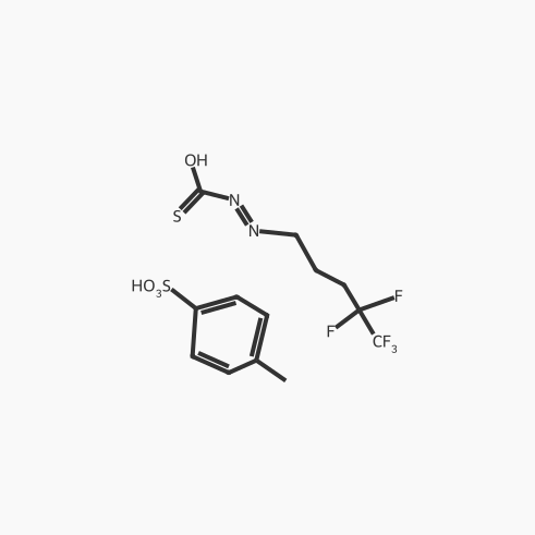 Cc1ccc(S(=O)(=O)O)cc1.OC(=S)N=NCCCC(F)(F)C(F)(F)F